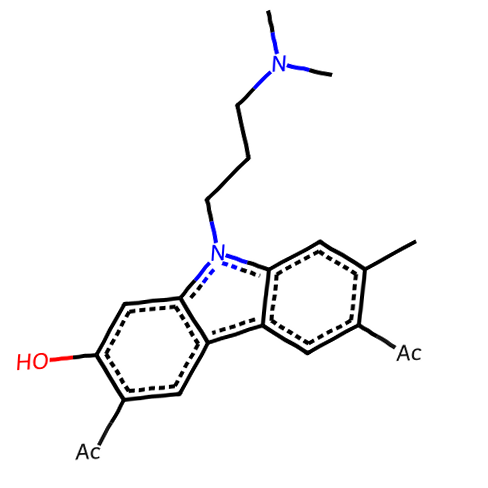 CC(=O)c1cc2c3cc(C(C)=O)c(O)cc3n(CCCN(C)C)c2cc1C